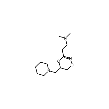 CN(C)CCC1=NOCC(CN2CCCCC2)O1